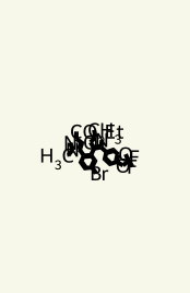 CCOC(=O)c1cc(-c2ccc(Br)cc2-c2oc(C)nc2-c2ccc3c(c2)OC(F)(F)O3)n(C)n1